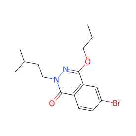 CCCOc1nn(CCC(C)C)c(=O)c2ccc(Br)cc12